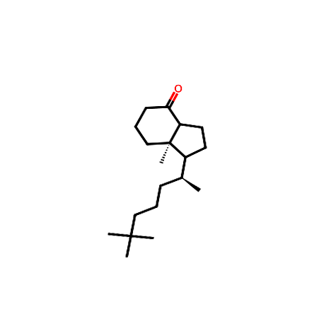 C[C@@H](CCCC(C)(C)C)C1CCC2C(=O)CCC[C@@]21C